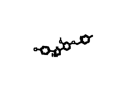 COc1cc(OCc2ccc(C)cn2)ccc1-c1c[nH]c(-c2ccc(Cl)cc2)n1